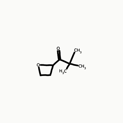 CC(C)(C)C(=O)C1CCO1